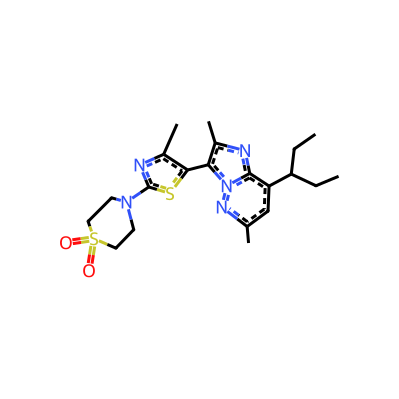 CCC(CC)c1cc(C)nn2c(-c3sc(N4CCS(=O)(=O)CC4)nc3C)c(C)nc12